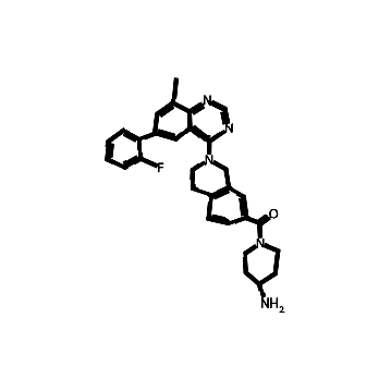 Cc1cc(-c2ccccc2F)cc2c(N3CCc4ccc(C(=O)N5CCC(N)CC5)cc4C3)ncnc12